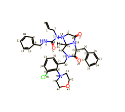 C=CCN(C(=O)NCc1ccccc1)N1CC(=O)N2[C@@H](Cc3ccccc3)C(=O)N(Cc3cccc(Cl)c3N3CCOCC3)C[C@@H]21